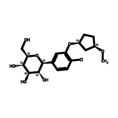 CO[C@@H]1CC[C@H](Oc2cc([C@@H]3O[C@H](CO)[C@@H](O)[C@H](O)[C@H]3O)ccc2Cl)C1